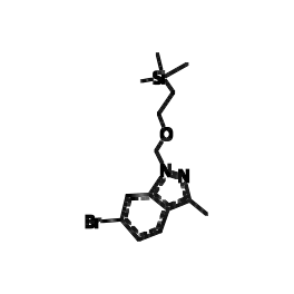 Cc1nn(COCC[Si](C)(C)C)c2cc(Br)ccc12